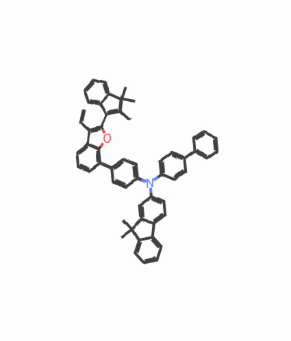 C=Cc1c(C2=C(C)C(C)(C)c3ccccc32)oc2c(-c3ccc(N(c4ccc(-c5ccccc5)cc4)c4ccc5c(c4)C(C)(C)c4ccccc4-5)cc3)cccc12